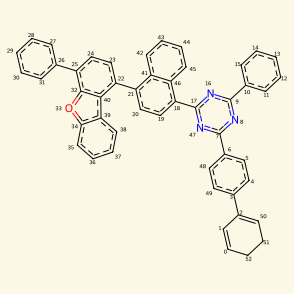 C1=CC(c2ccc(-c3nc(-c4ccccc4)nc(-c4ccc(-c5ccc(-c6ccccc6)c6oc7ccccc7c56)c5ccccc45)n3)cc2)=CCC1